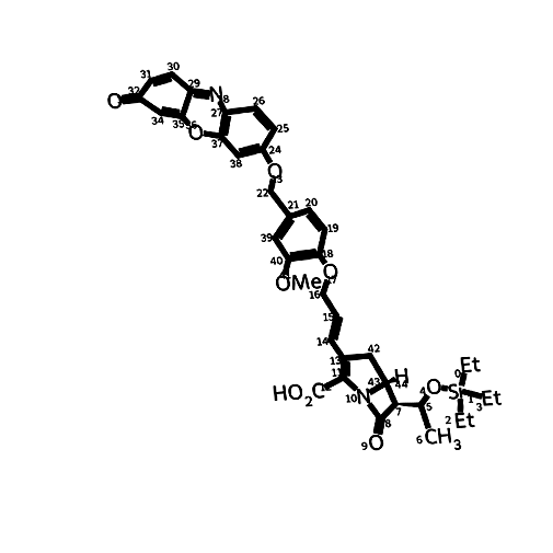 CC[Si](CC)(CC)OC(C)[C@H]1C(=O)N2C(C(=O)O)=C(/C=C/COc3ccc(COc4ccc5nc6ccc(=O)cc-6oc5c4)cc3OC)C[C@H]12